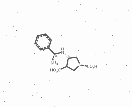 C[C@H](N[C@@H]1CN(C(=O)O)CC1C(=O)O)c1ccccc1